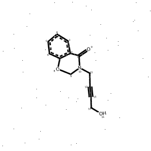 O=C1c2ccccc2OCN1CC#CCO